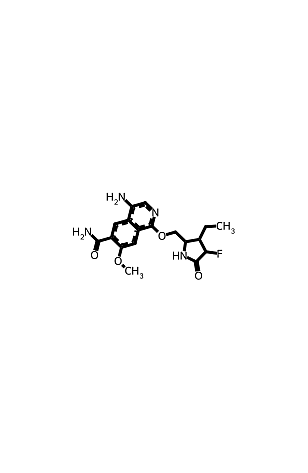 CCC1C(COc2ncc(N)c3cc(C(N)=O)c(OC)cc23)NC(=O)C1F